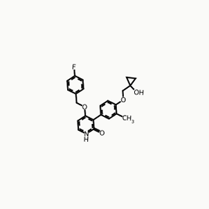 Cc1cc(-c2c(OCc3ccc(F)cc3)cc[nH]c2=O)ccc1OCC1(O)CC1